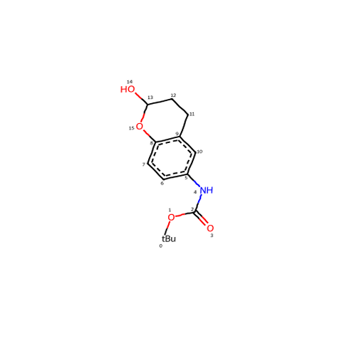 CC(C)(C)OC(=O)Nc1ccc2c(c1)CCC(O)O2